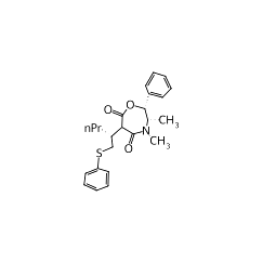 CCC[C@@H](CSc1ccccc1)C1C(=O)O[C@H](c2ccccc2)[C@H](C)N(C)C1=O